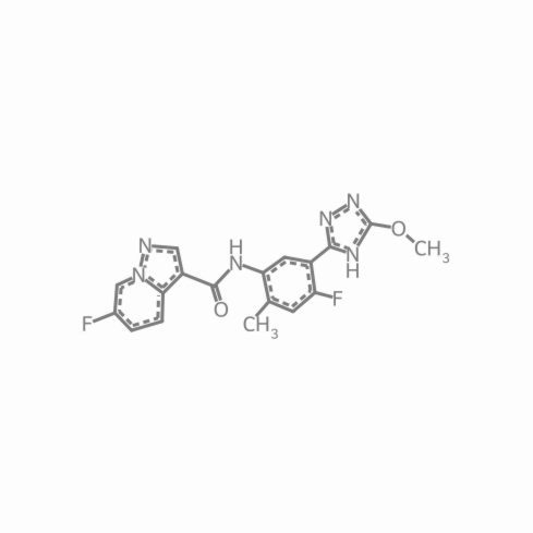 COc1nnc(-c2cc(NC(=O)c3cnn4cc(F)ccc34)c(C)cc2F)[nH]1